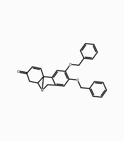 O=C1C=CC23CCN(Cc4cc(OCc5ccccc5)c(OCc5ccccc5)cc42)C3C1